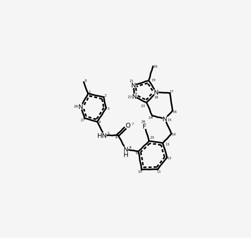 Cc1ccc(NC(=O)Nc2cccc(CN3CCn4c(C)nnc4C3)c2F)cn1